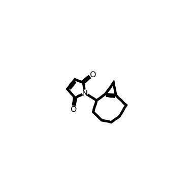 O=C1C=CC(=O)N1C1CCCCCC2=C1C2